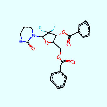 O=C(OCC1OC(N2CCCNC2=O)C(F)(F)[C@@H]1OC(=O)c1ccccc1)c1ccccc1